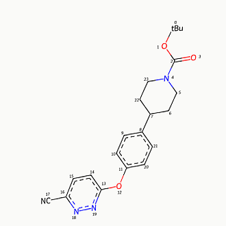 CC(C)(C)OC(=O)N1CCC(c2ccc(Oc3ccc(C#N)nn3)cc2)CC1